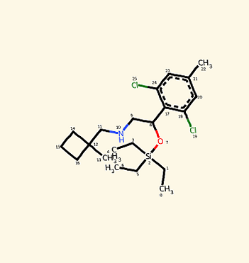 CC[Si](CC)(CC)OC(CNCC1(C)CCC1)c1c(Cl)cc(C)cc1Cl